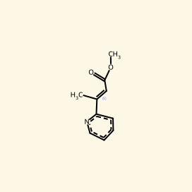 COC(=O)/C=C(\C)c1ccccn1